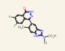 CCN(C(=O)O)c1nc2cc(-c3n[nH]c(=O)c4cc(F)c(F)cc34)c(C)cc2[nH]1